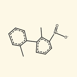 Cc1ccccc1-c1cccc([N+](=O)[O-])c1C